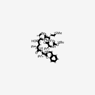 CSCC[C@H](NC(=O)[C@@H](NC(=O)OC(C)(C)C)C(C)C)C(=O)N[C@@H](CC(C)C)[C@@H](O)C[C@H](C(=O)N[C@H](C(=O)NCc1ccccc1)C(C)C)C(C)C